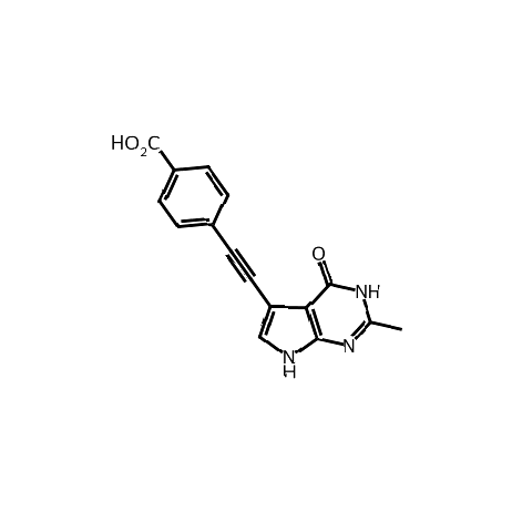 Cc1nc2[nH]cc(C#Cc3ccc(C(=O)O)cc3)c2c(=O)[nH]1